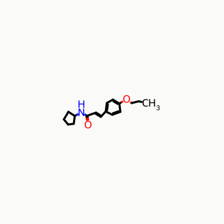 CCCOc1ccc(C=CC(=O)NC2CCCC2)cc1